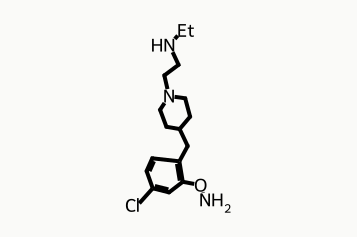 CCNCCN1CCC(Cc2ccc(Cl)cc2ON)CC1